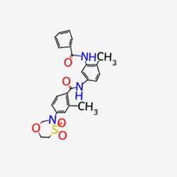 Cc1ccc(NC(=O)c2ccc(N3COCCS3(=O)=O)cc2C)cc1NC(=O)c1ccccc1